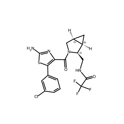 Nc1nc(C(=O)N2C[C@H]3C[C@H]3[C@H]2CNC(=O)C(F)(F)F)c(-c2cccc(Cl)c2)s1